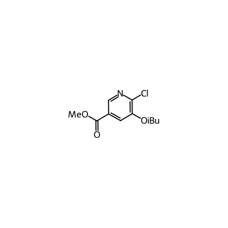 COC(=O)c1cnc(Cl)c(OCC(C)C)c1